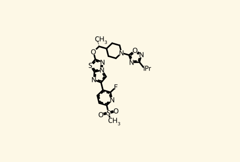 CC(C)c1noc(N2CCC([C@@H](C)Oc3nn4cc(-c5ccc(S(C)(=O)=O)nc5F)nc4s3)CC2)n1